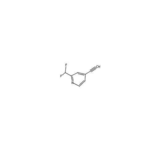 C#Cc1ccnc(C(F)F)c1